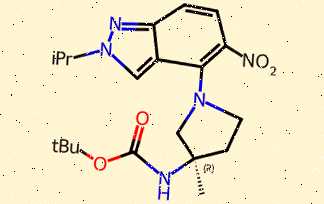 CC(C)n1cc2c(N3CC[C@@](C)(NC(=O)OC(C)(C)C)C3)c([N+](=O)[O-])ccc2n1